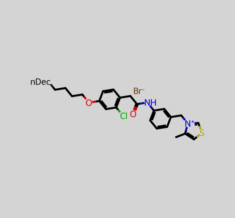 CCCCCCCCCCCCCCOc1ccc(CC(=O)Nc2cccc(C[n+]3cscc3C)c2)c(Cl)c1.[Br-]